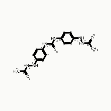 CC(=O)NNc1ccc(NC(=S)Nc2ccc(NNC(C)=O)cc2)cc1